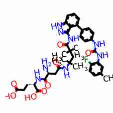 Cc1ccc(F)c(NC(=O)Nc2ccc(-c3cccc4[nH]nc(NC(=O)C(C)(C)CC(C)(C)NC(=O)C[C@H](N)C(=O)N[C@@H](CCC(=O)O)C(=O)O)c34)cc2)c1